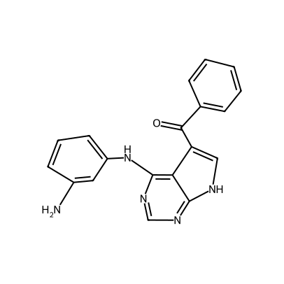 Nc1cccc(Nc2ncnc3[nH]cc(C(=O)c4ccccc4)c23)c1